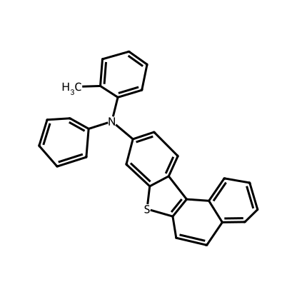 Cc1ccccc1N(c1ccccc1)c1ccc2c(c1)sc1ccc3ccccc3c12